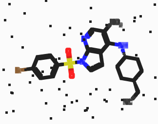 N#CC[C@H]1CC[C@H](Nc2c([N+](=O)[O-])cnc3c2ccn3S(=O)(=O)c2ccc(Br)cc2)CC1